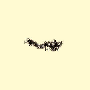 Cc1c(=O)n(C)c(Nc2ccc(I)cc2F)c2c(=O)n(C3CC3)c(=O)n(-c3cccc(NC(=O)C4CCN(CC5CCN(c6ccc([C@@H]7CCC(=O)NC7=O)cc6)CC5)CC4)c3)c12